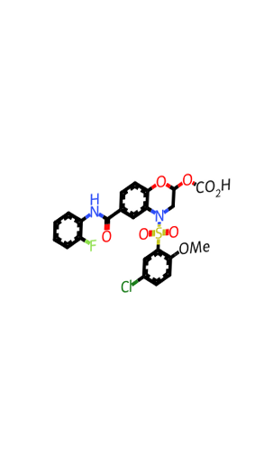 COc1ccc(Cl)cc1S(=O)(=O)N1CC(OC(=O)O)Oc2ccc(C(=O)Nc3ccccc3F)cc21